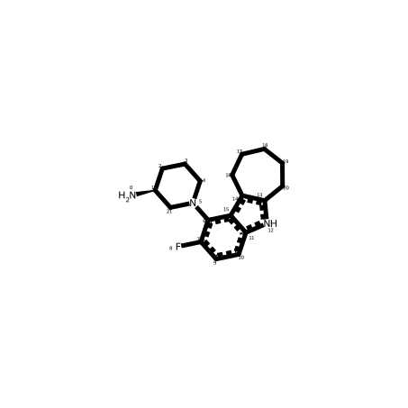 N[C@H]1CCCN(c2c(F)ccc3[nH]c4c(c23)CCCCC4)C1